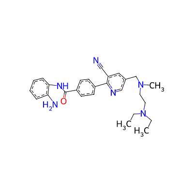 CCN(CC)CCN(C)Cc1cnc(-c2ccc(C(=O)Nc3ccccc3N)cc2)c(C#N)c1